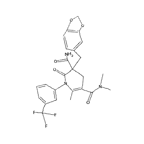 CC1=C(C(=O)N(C)C)CC(Cc2ccc3c(c2)OCO3)(C(N)=O)C(=O)N1c1cccc(C(F)(F)F)c1